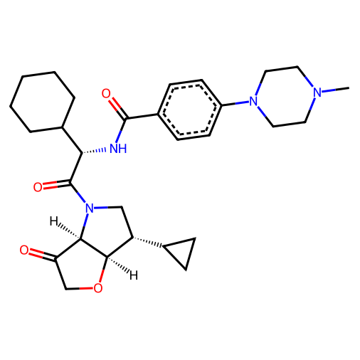 CN1CCN(c2ccc(C(=O)N[C@H](C(=O)N3C[C@H](C4CC4)[C@H]4OCC(=O)[C@H]43)C3CCCCC3)cc2)CC1